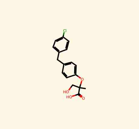 CC(CO)(Oc1ccc(Cc2ccc(Cl)cc2)cc1)C(=O)O